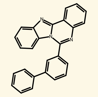 c1ccc(-c2cccc(-c3nc4ccccc4c4nc5ccccc5n34)c2)cc1